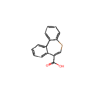 O=C(O)C1=CSc2ccccc2-c2ccccc21